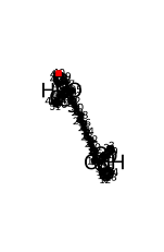 CC(C)(C)OC(=O)N[C@@H](Cc1ccccc1)C(=O)CCSCCCCCCCCCCSCCC(=O)[C@H](Cc1ccccc1)NC(=O)OC(C)(C)C